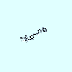 CCCCS(=O)(=O)CC(Cc1ccc(CNCCC2=CCN(C(=N)N)C2)cc1)C(=O)O